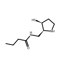 CCCC(=O)NC[C@@H]1NCC[C@@H]1S